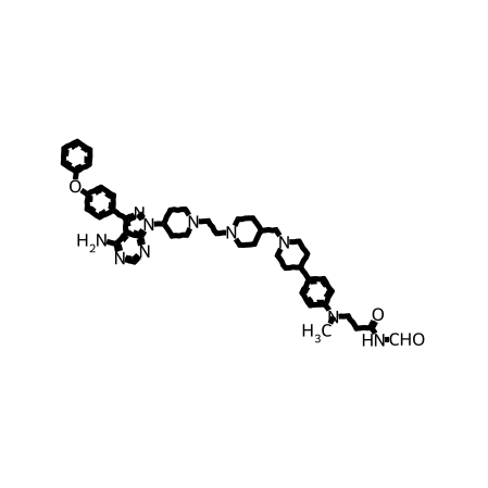 CN(CCC(=O)NC=O)c1ccc(C2CCN(CC3CCN(CCN4CCC(n5nc(-c6ccc(Oc7ccccc7)cc6)c6c(N)ncnc65)CC4)CC3)CC2)cc1